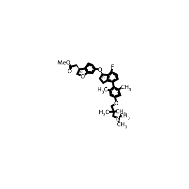 COC(=O)C[C@@H]1COc2cc(O[C@@H]3CCc4c(-c5c(C)cc(OCC(C)(C)CN(C)C)cc5C)ccc(F)c43)ccc21